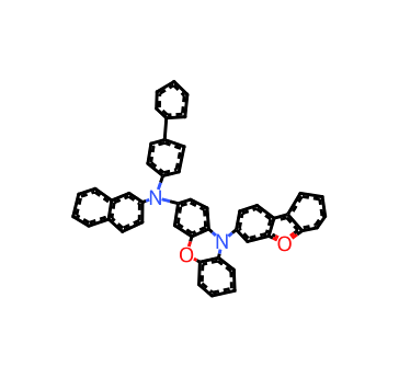 c1ccc(-c2ccc(N(c3ccc4c(c3)Oc3ccccc3N4c3ccc4c(c3)oc3ccccc34)c3ccc4ccccc4c3)cc2)cc1